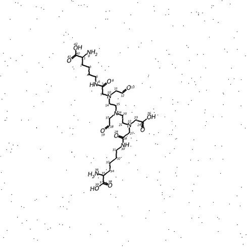 NC(CCCCNC(=O)CN(CC=O)CCN(CC=O)CCN(CC(=O)O)CC(=O)NCCCCC(N)C(=O)O)C(=O)O